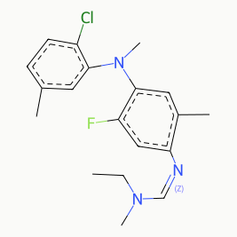 CCN(C)/C=N\c1cc(F)c(N(C)c2cc(C)ccc2Cl)cc1C